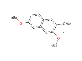 CCCCOc1ccc2cc(OC)c(OCCCC)cc2c1